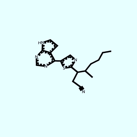 CCCCC(C)C(CC#N)c1ncc(-c2ncnc3[nH]ccc23)s1